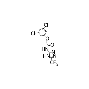 O=C(COc1cc(Cl)cc(Cl)c1)Nc1nnc(C(F)(F)F)[nH]1